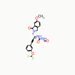 COc1ccc2c(c1)C(=O)N(C[C@@H](C#Cc1cccc(OC(F)F)c1)NC(=O)NC=O)C2